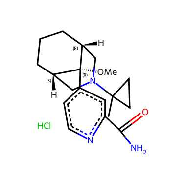 CO[C@@]1(c2ccnc(C(N)=O)c2)[C@@H]2CCC[C@H]1CN(C1(C)CC1)C2.Cl